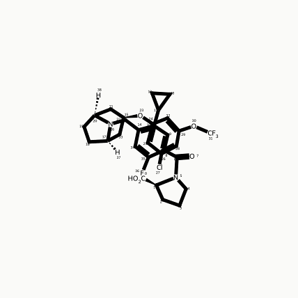 O=C(O)[C@@H]1CCCN1C(=O)c1cc(C2CC2)c(CN2[C@@H]3CC[C@H]2C[C@@H](Oc2cc(Cl)cc(OC(F)(F)F)c2)C3)cc1F